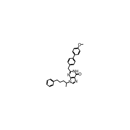 COc1ccc(-c2ccc(Cc3nc4c(ncn4C(C)CCCc4ccccc4)c(=O)[nH]3)cc2)cc1